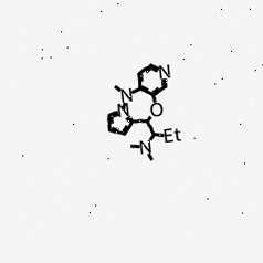 CCC(C1Oc2cnccc2N(C)n2cccc21)N(C)C